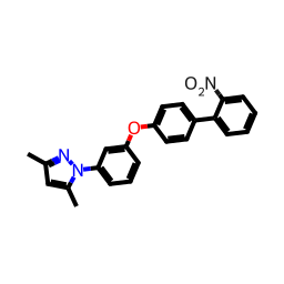 Cc1cc(C)n(-c2cccc(Oc3ccc(-c4ccccc4[N+](=O)[O-])cc3)c2)n1